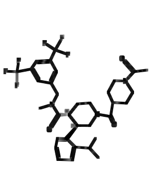 CC(=O)N1CCC(C(=O)N2CC[C@@H](C(=O)N(C)Cc3cc(C(F)(F)F)cc(C(F)(F)F)c3)[C@H](c3ccccc3C(C)C)C2)CC1